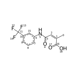 CC(=CC(=O)Nc1cccc(C(F)(F)F)c1)C(=O)O